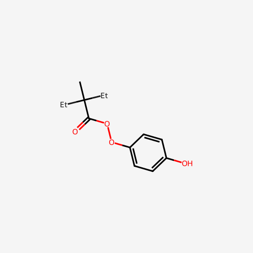 CCC(C)(CC)C(=O)OOc1ccc(O)cc1